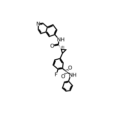 O=C(Nc1ccc2cnccc2c1)[C@@H]1CC1c1ccc(F)c(S(=O)(=O)Nc2ccccc2)c1